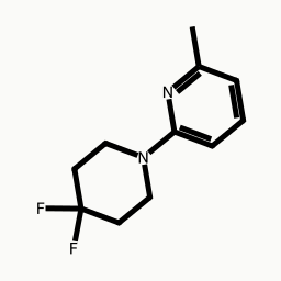 Cc1cccc(N2CCC(F)(F)CC2)n1